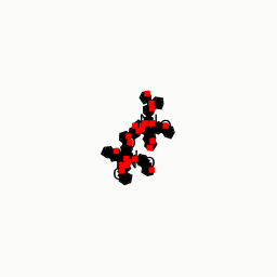 c1ccc(-n2c3ccccc3c3cc(-c4nc(-c5ccc6cc(-c7cccc8c7oc7cc(-c9nc(-c%10ccc%11oc%12ccccc%12c%11c%10)nc(-c%10ccc%11oc%12ccccc%12c%11c%10)n9)c(-n9c%10ccccc%10c%10cc%11ccccc%11cc%109)cc78)ccc6c5)nc(-c5cc6oc7ccccc7c6cc5-n5c6ccccc6c6cc7ccccc7cc65)n4)ccc32)cc1